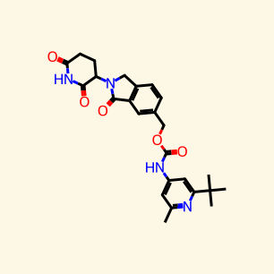 Cc1cc(NC(=O)OCc2ccc3c(c2)C(=O)N(C2CCC(=O)NC2=O)C3)cc(C(C)(C)C)n1